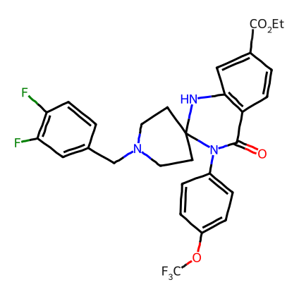 CCOC(=O)c1ccc2c(c1)NC1(CCN(Cc3ccc(F)c(F)c3)CC1)N(c1ccc(OC(F)(F)F)cc1)C2=O